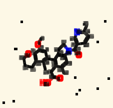 COc1cc(-c2c(CC(=O)O)c(C)cc3c2CCN3C(=O)c2ccc(C)nc2)c(C)c2c1OCCC2